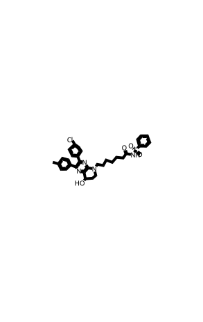 Cc1ccc(-c2nc3c(nc2-c2ccc(Cl)cc2)N(CCCCCCC(=O)NS(=O)(=O)c2ccccc2)CCC3O)cc1